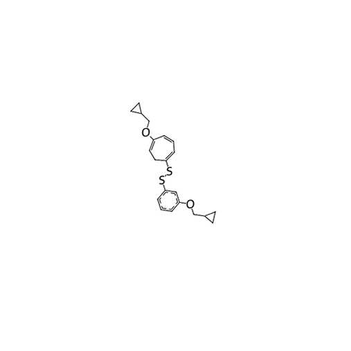 C1=CC(OCC2CC2)=CCC(SSc2cccc(OCC3CC3)c2)=C1